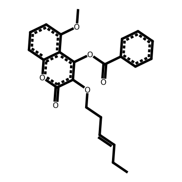 CCC=CCCOc1c(OC(=O)c2ccccc2)c2c(OC)cccc2oc1=O